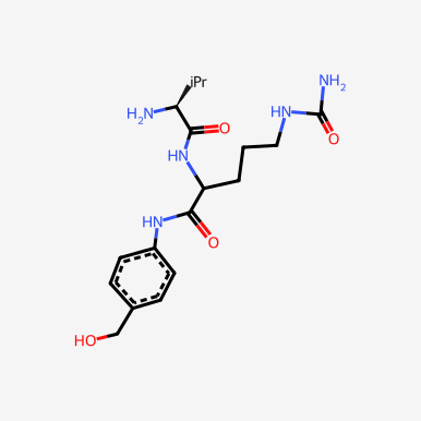 CC(C)[C@H](N)C(=O)NC(CCCNC(N)=O)C(=O)Nc1ccc(CO)cc1